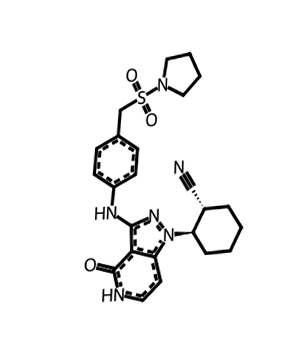 N#C[C@@H]1CCCC[C@H]1n1nc(Nc2ccc(CS(=O)(=O)N3CCCC3)cc2)c2c(=O)[nH]ccc21